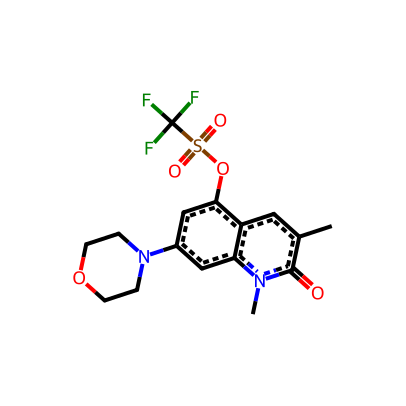 Cc1cc2c(OS(=O)(=O)C(F)(F)F)cc(N3CCOCC3)cc2n(C)c1=O